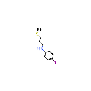 CCSCCCNc1ccc(I)cc1